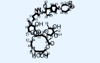 CC[C@H]1OC(=O)[C@H](C)[C@@H](C2C[C@@](C)(OC)[C@@H](O)[C@H](C)O2)[C@H](C)[C@@H](O[C@@H]2O[C@H](C)C[C@H](N(C)CCc3cn([C@H](CF)[C@H](OC)c4ccc(N5CCCS(=O)(=O)CC5)cc4)nn3)[C@H]2O)[C@](C)(O)C[C@@H](C)CN(C)[C@H](C)[C@@H](O)[C@]1(C)O